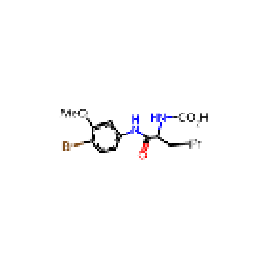 COc1cc(NC(=O)C(CC(C)C)NC(=O)O)ccc1Br